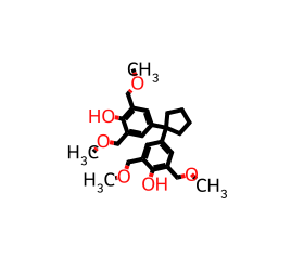 COCc1cc(C2(c3cc(COC)c(O)c(COC)c3)CCCC2)cc(COC)c1O